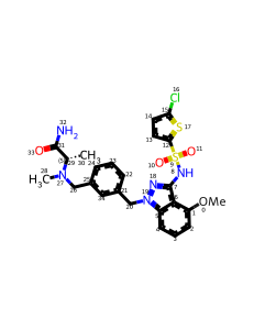 COc1cccc2c1c(NS(=O)(=O)c1ccc(Cl)s1)nn2Cc1cccc(CN(C)[C@@H](C)C(N)=O)c1